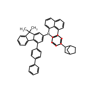 CC1(C)c2ccccc2-c2c(-c3ccc(-c4ccccc4)cc3)cc(N(c3ccc(C4CC5CCC4C5)cc3)c3cccc4cccc(C5CCCCC5)c34)cc21